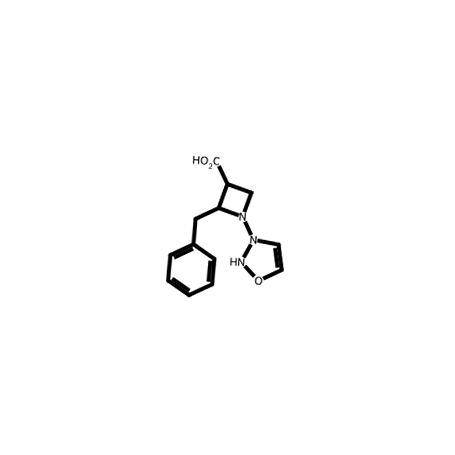 O=C(O)C1CN(N2C=CON2)C1Cc1ccccc1